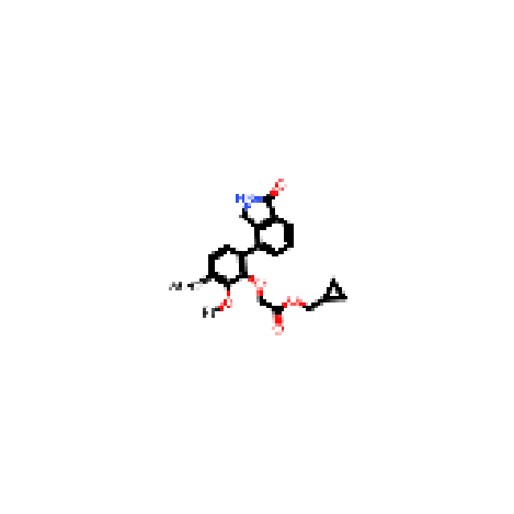 CCOc1c(OC)ccc(-c2cccc3c2CNC3=O)c1OCC(=O)OCC1CC1